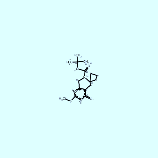 CSc1nc2c(c(=O)[nH]1)CC1(CCC1)N(C(=O)OC(C)(C)C)C2